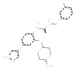 COc1cccc(CNC(=O)Nc2ccc(-c3cn[nH]c3)cc2OC2CCC(O)CC2)c1